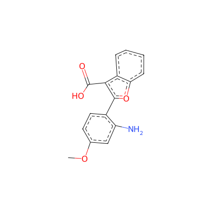 COc1ccc(-c2oc3ccccc3c2C(=O)O)c(N)c1